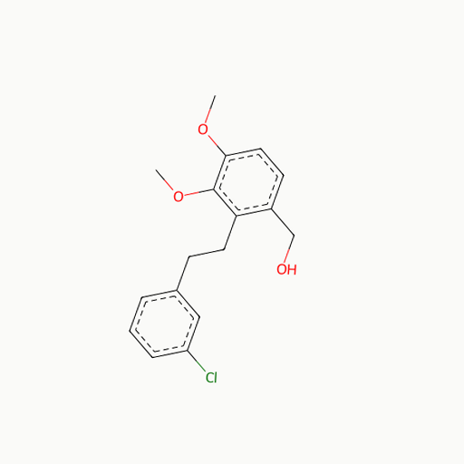 COc1ccc(CO)c(CCc2cccc(Cl)c2)c1OC